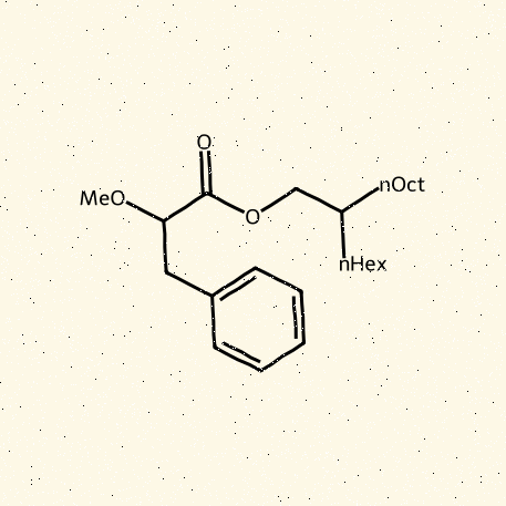 CCCCCCCCC(CCCCCC)COC(=O)C(Cc1ccccc1)OC